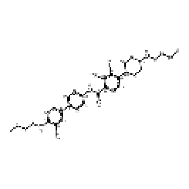 CCCCOc1ccc(-c2ccc(OC(=O)c3ccc(C4CCC(OCCCC)CC4)c(F)c3F)cc2)cc1F